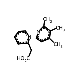 Cc1ccnc(C)c1C.O=C(O)Cc1ccccn1